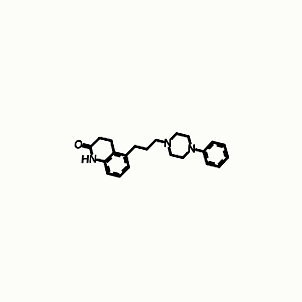 O=C1CCc2c(CCCN3CCN(c4ccccc4)CC3)cccc2N1